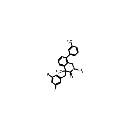 CN1Cc2c(-c3cccc(C(F)(F)F)c3)cccc2C(C)(Cc2cc(F)cc(F)c2)C1=O